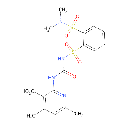 Cc1cc(C)c(C(=O)O)c(NC(=O)NS(=O)(=O)c2ccccc2S(=O)(=O)N(C)C)n1